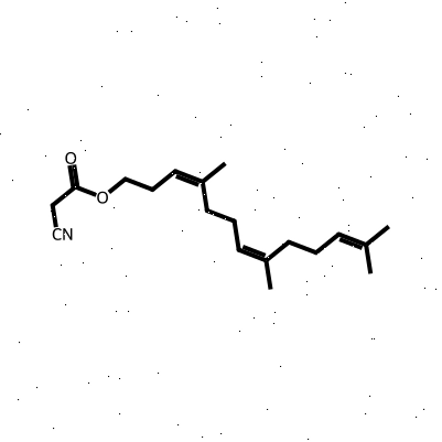 CC(C)=CCCC(C)=CCCC(C)=CCCOC(=O)CC#N